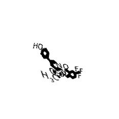 CCS(=O)(=O)c1cc(-c2ccc(O)cc2)cnc1-n1ncc2ccc(C(F)(F)F)cc2c1=O